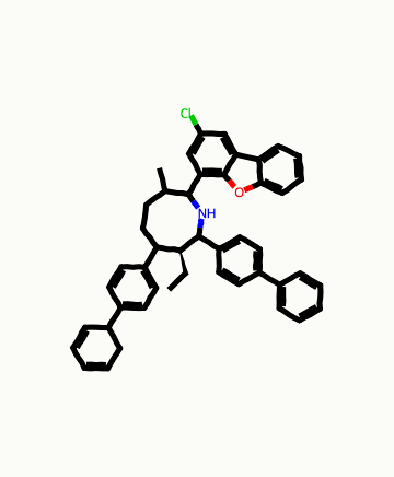 CC[C@H]1C(c2ccc(C3C=CC=CC3)cc2)CCC(C)C(c2cc(Cl)cc3c2oc2ccccc23)NC1c1ccc(-c2ccccc2)cc1